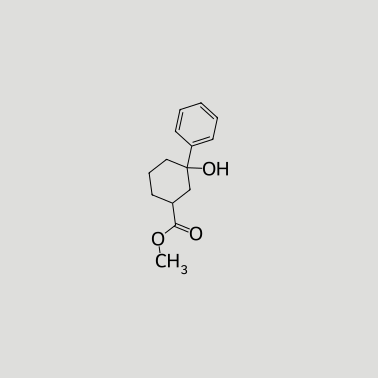 COC(=O)C1CCCC(O)(c2ccccc2)C1